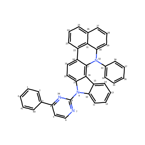 c1ccc(-c2ccnc(-n3c4ccccc4c4c5c(ccc43)-c3cccc4cccc(c34)N5c3ccccc3)n2)cc1